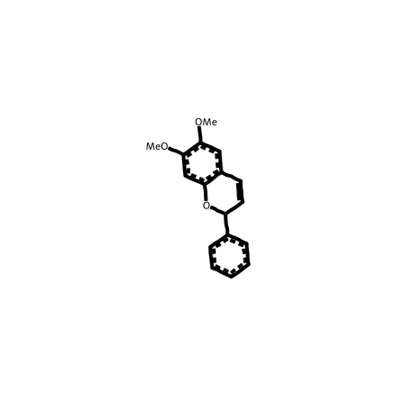 COc1cc2c(cc1OC)OC(c1ccccc1)C=C2